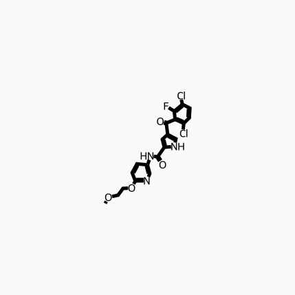 COCCOc1ccc(NC(=O)c2cc(C(=O)c3c(Cl)ccc(Cl)c3F)c[nH]2)cn1